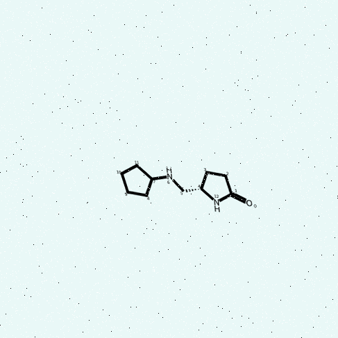 O=C1CC[C@@H](CNC2CCCC2)N1